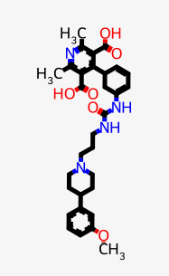 COc1cccc(C2CCN(CCCNC(=O)NC3=CC=CC(c4c(C(=O)O)c(C)nc(C)c4C(=O)O)C3)CC2)c1